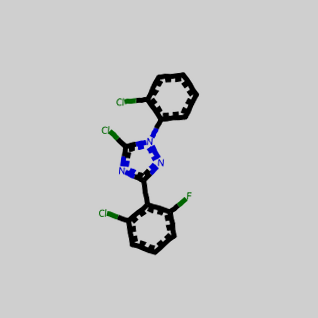 Fc1cccc(Cl)c1-c1nc(Cl)n(-c2ccccc2Cl)n1